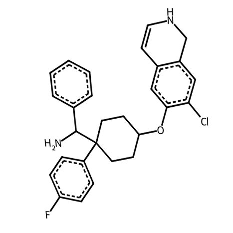 NC(c1ccccc1)C1(c2ccc(F)cc2)CCC(Oc2cc3c(cc2Cl)CNC=C3)CC1